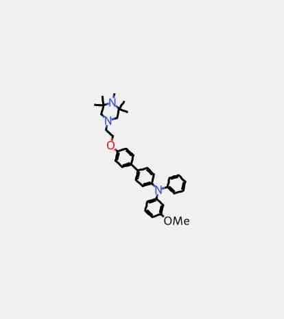 COc1cccc(N(c2ccccc2)c2ccc(-c3ccc(OCCN4CC(C)(C)N(C)C(C)(C)C4)cc3)cc2)c1